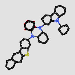 c1ccc(N(c2ccc3c(c2)sc2cc4ccccc4cc23)c2ccccc2N(c2ccccc2)c2ccc3c4ccccc4n(-c4ccccc4)c3c2)cc1